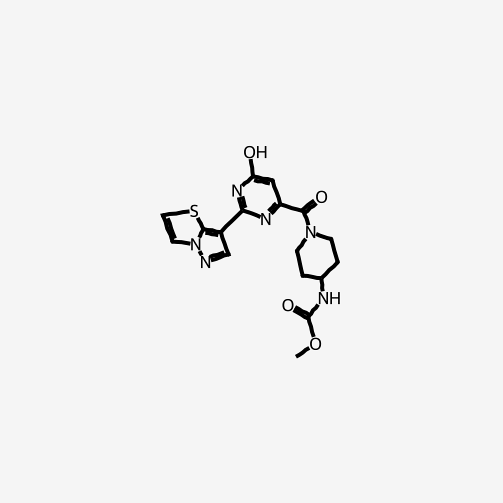 COC(=O)NC1CCN(C(=O)c2cc(O)nc(-c3cnn4ccsc34)n2)CC1